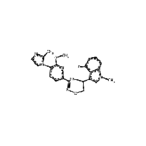 COc1nc(C2=NOCC(c3cn(C)c4cccc(F)c34)N2)ccc1-n1ccnc1C